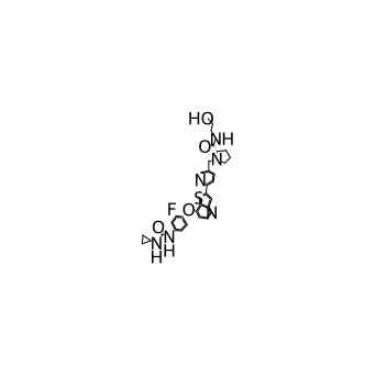 O=C(Nc1ccc(Oc2ccnc3cc(-c4ccc(CN5CCC[C@H]5C(=O)NCCO)cn4)sc23)c(F)c1)NC1CC1